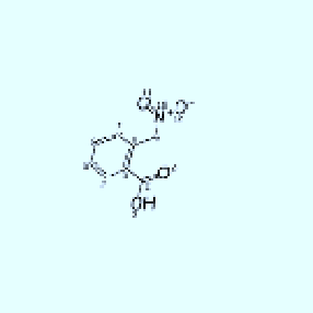 O=C(O)c1ccc[c]c1C[N+](=O)[O-]